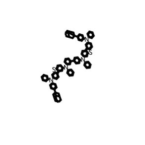 c1ccc(N(c2ccc(-c3cccc(N(c4ccccc4)c4ccc5sc6cc(N(c7ccccc7)c7ccc(C89CC%10CC(CC(C%10)C8)C9)cc7)ccc6c5c4)c3)cc2)c2ccc3c(c2)sc2ccc(N(c4ccccc4)c4ccc(C56CC7CC(CC(C7)C5)C6)cc4)cc23)cc1